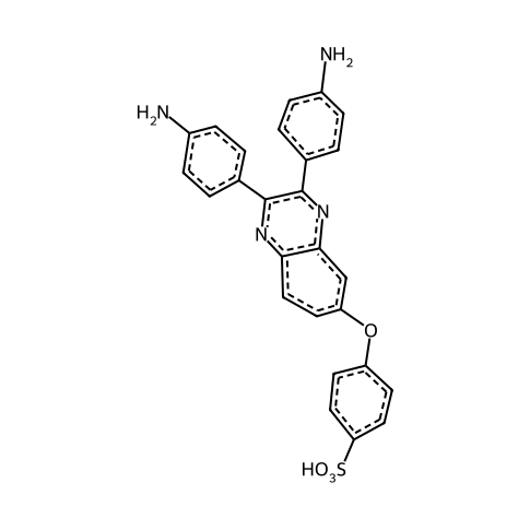 Nc1ccc(-c2nc3ccc(Oc4ccc(S(=O)(=O)O)cc4)cc3nc2-c2ccc(N)cc2)cc1